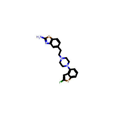 Nc1nc2cc(CCN3CCN(c4cccc5sc(F)cc45)CC3)ccc2s1